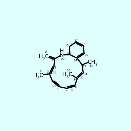 C=C1/C=C(C)/C=C\C=C/C(C)=C/C(C)C2=CC=CCC2N1